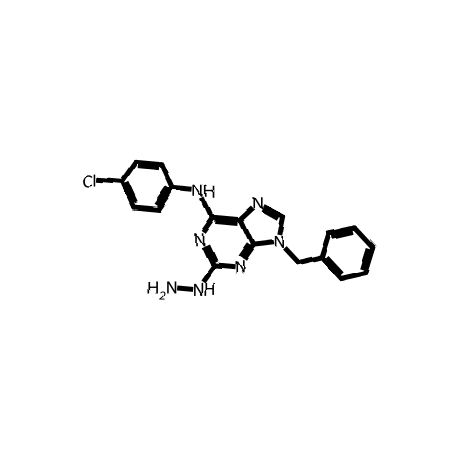 NNc1nc(Nc2ccc(Cl)cc2)c2ncn(Cc3ccccc3)c2n1